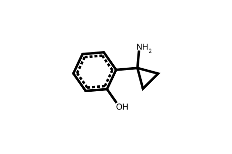 NC1(c2ccccc2O)CC1